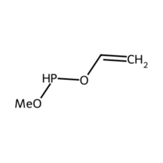 C=COPOC